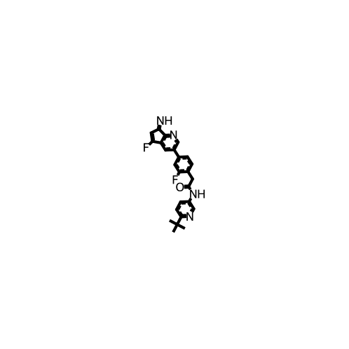 CC(C)(C)c1ccc(NC(=O)Cc2ccc(-c3cnc4c(c3)C(F)=CC4=N)cc2F)cn1